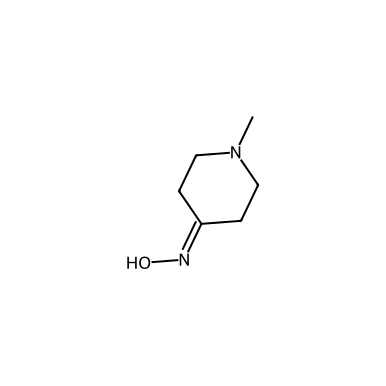 CN1CCC(=NO)CC1